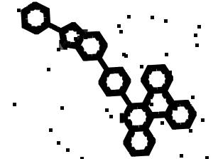 c1ccc(-c2cn3ccc(-c4ccc(-c5nc6ccccc6c6c7ccccc7c7ccccc7c56)cc4)cc3n2)cc1